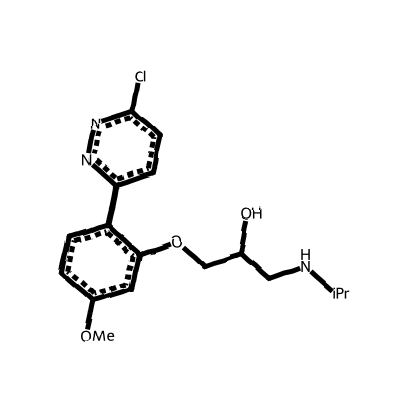 COc1ccc(-c2ccc(Cl)nn2)c(OCC(O)CNC(C)C)c1